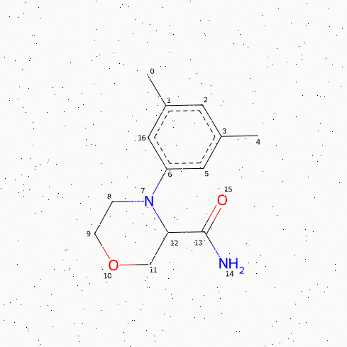 Cc1cc(C)cc(N2CCOCC2C(N)=O)c1